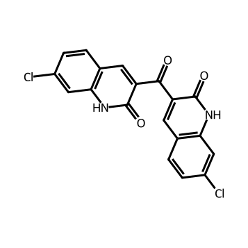 O=C(c1cc2ccc(Cl)cc2[nH]c1=O)c1cc2ccc(Cl)cc2[nH]c1=O